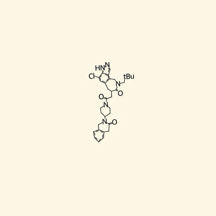 CC(C)(C)CN1Cc2c(cc(Cl)c3[nH]ncc23)CC(CC(=O)N2CCC(N3Cc4ccccc4CC3=O)CC2)C1=O